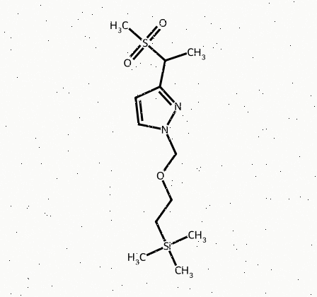 CC(c1ccn(COCC[Si](C)(C)C)n1)S(C)(=O)=O